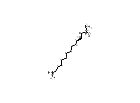 CCNCCCCCCCCC/C=C/C[S+](N)[O-]